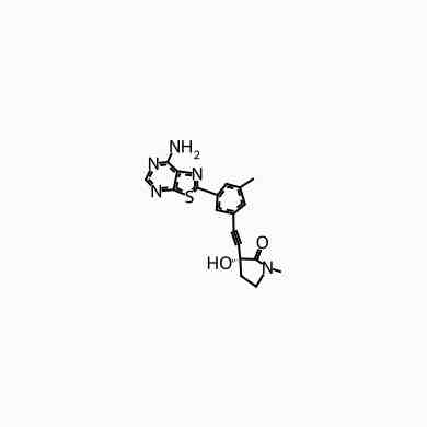 Cc1cc(C#C[C@]2(O)CCN(C)C2=O)cc(-c2nc3c(N)ncnc3s2)c1